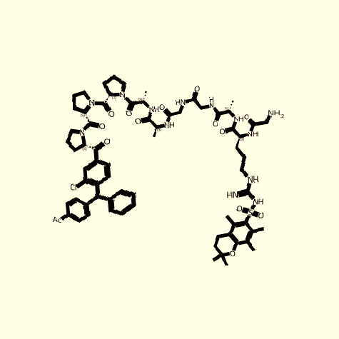 CC(=O)c1ccc([C](c2ccccc2)c2ccc(C(=O)[C@@H]3CCCN3C(=O)[C@@H]3CCCN3C(=O)[C@@H]3CCCN3C(=O)[C@H](C)NC(=O)[C@H](C)NC(=O)CNC(=O)CNC(=O)[C@H](C)NC(=O)[C@H](CCCNC(=N)NS(=O)(=O)c3c(C)c(C)c4c(c3C)CCC(C)(C)O4)NC(=O)CN)cc2Cl)cc1